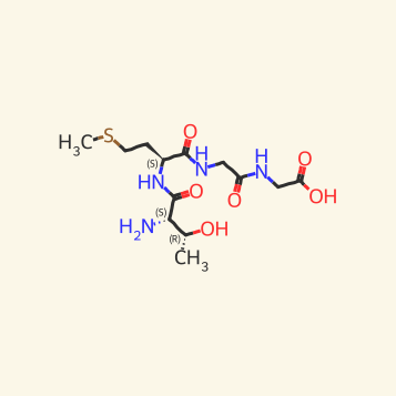 CSCC[C@H](NC(=O)[C@@H](N)[C@@H](C)O)C(=O)NCC(=O)NCC(=O)O